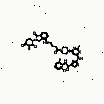 Cc1nc(Nc2ncc(C(=O)Nc3c(C)cccc3Cl)s2)cc(N2CCN(C(=O)CCCNc3cccc4c3CN(C3CCC(=O)NC3=O)C4=O)CC2)n1